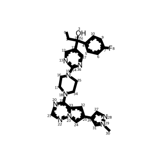 CC[C@](O)(c1ccc(F)cc1)c1cnc(N2CCN(c3ncnn4cc(-c5cnn(C)c5)cc34)CC2)nc1